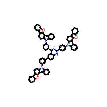 c1cc(-c2ccc3nc(-c4ccc(-n5c6ccccc6c6c7oc8ccccc8c7ccc65)cc4)nc(-c4cccc(-n5c6ccccc6c6c7oc8ccccc8c7ccc65)c4)c3c2)cc(-n2c3ccccc3c3c4oc5ccccc5c4ccc32)c1